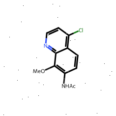 COc1c(NC(C)=O)ccc2c(Cl)ccnc12